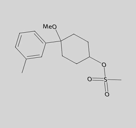 COC1(c2cccc(C)c2)CCC(OS(C)(=O)=O)CC1